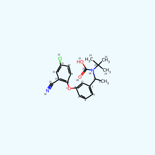 CC(c1cccc(Oc2ccc(Cl)cc2C#N)c1)N(C(=O)O)C(C)(C)C